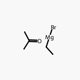 CC(C)=O.C[CH2][Mg][Br]